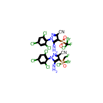 N#Cc1nn(-c2c(Cl)cc(Cl)cc2Cl)c(N)c1S(=O)(=O)C(F)(Cl)Br.N#Cc1nn(-c2c(Cl)cc(Cl)cc2Cl)c(N)c1S(=O)(Cl)(Br)CF